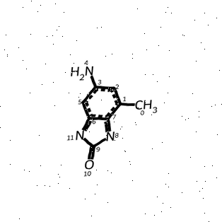 Cc1cc(N)cc2c1=NC(=O)N=2